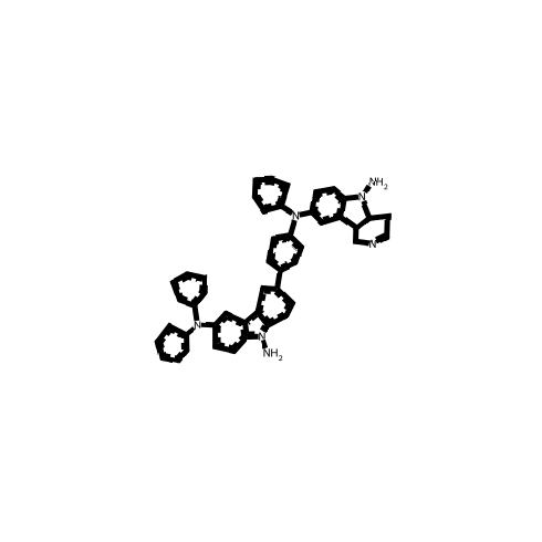 NN1c2ccc(N(c3ccccc3)c3ccc(-c4ccc5c(c4)c4cc(N(c6ccccc6)c6ccccc6)ccc4n5N)cc3)cc2C2CN=CCC21